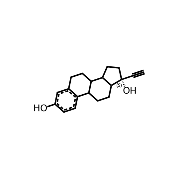 C#C[C@]1(O)CCC2C3CCc4cc(O)ccc4C3CCC21